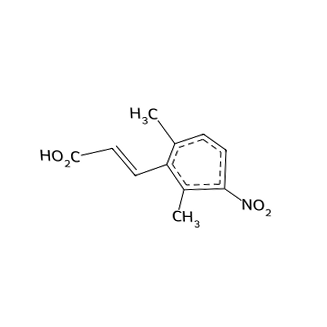 Cc1ccc([N+](=O)[O-])c(C)c1/C=C/C(=O)O